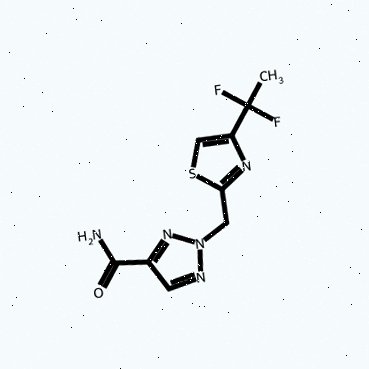 CC(F)(F)c1csc(Cn2ncc(C(N)=O)n2)n1